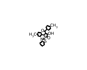 Cc1ccc(C(=O)C2=C(O)C(=O)N(c3nc4ccccc4s3)C2c2ccc(C)cc2)cc1